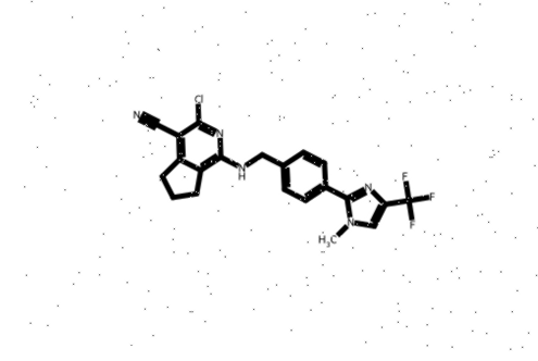 Cn1cc(C(F)(F)F)nc1-c1ccc(CNc2nc(Cl)c(C#N)c3c2CCC3)cc1